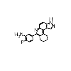 Nc1cc(-c2nc3ccc4[nH]ncc4c3c3c2CCCC3)ccc1F